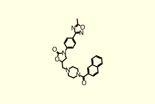 Cc1nc(-c2ccc(N3CC(CN4CCN(C(=O)c5ccc6ccccc6c5)CC4)OC3=O)cc2)no1